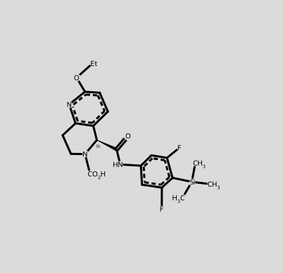 CCOc1ccc2c(n1)CCN(C(=O)O)[C@@H]2C(=O)Nc1cc(F)c([Si](C)(C)C)c(F)c1